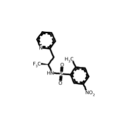 Cc1ccc([N+](=O)[O-])cc1S(=O)(=O)N[C@H](Cc1ccccn1)C(F)(F)F